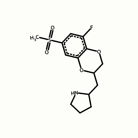 CS(=O)(=O)c1cc(F)c2c(c1)OC(CC1CCCN1)CO2